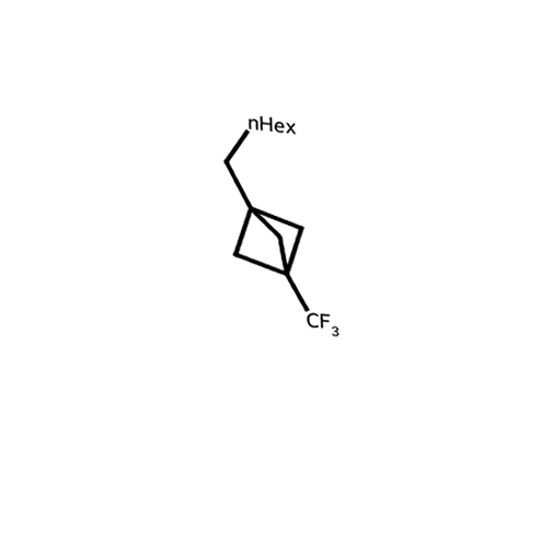 CCCCCCCC12CC(C(F)(F)F)(C1)C2